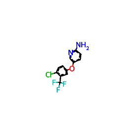 Nc1ccc(Oc2ccc(Cl)c(C(F)(F)F)c2)cn1